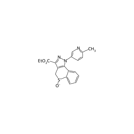 CCOC(=O)c1nn(-c2ccc(C)nc2)c2c1C[S+]([O-])c1ccccc1-2